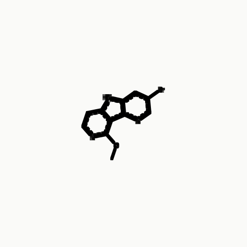 COc1nccc2[nH]c3cc(Br)cnc3c12